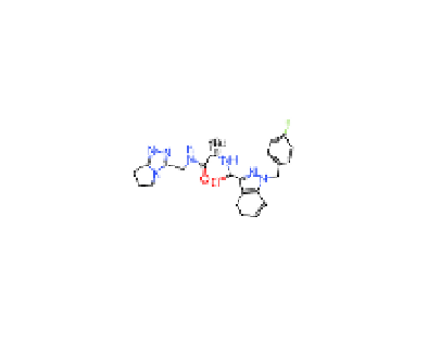 CC(C)(C)[C@H](NC(=O)c1nn(Cc2ccc(F)cc2)c2c1CCC=C2)C(=O)NCc1nnc2n1CCC2